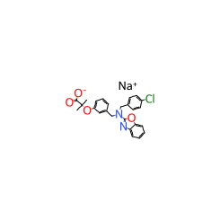 CC(C)(Oc1cccc(CN(Cc2ccc(Cl)cc2)c2nc3ccccc3o2)c1)C(=O)[O-].[Na+]